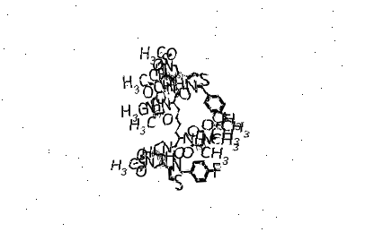 C[C@@H](C(=O)NC(CCCCC(NC(=O)[C@H](C)N(C)C(=O)OC(C)(C)C)C(=O)N1CC[C@@H]2[C@H]1[C@@H](c1csc(-c3ccc(F)cc3)n1)CN2S(C)(=O)=O)C(=O)N1CC[C@@H]2[C@H]1[C@@H](c1csc(-c3ccc(F)cc3)n1)CN2S(C)(=O)=O)N(C)C(=O)OC(C)(C)C